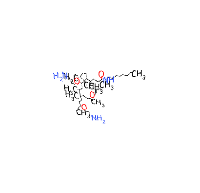 CCCCCCCCNC(=O)CC[C@@H](C)[C@H]1CC[C@@H](C)[C@]1(C)[C@H](C[C@@H](C)[C@@](C)(CC[C@H](CC)OCCCN)CC[C@H](C)OCCCC)OCCCN